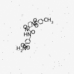 Cc1ccc(S(=O)(=O)N2CCc3onc(C(=O)NCc4ccc(S(N)(=O)=O)cc4)c3C2)cc1